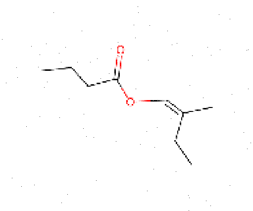 CCCC(=O)OC=C(C)CC